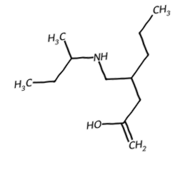 C=C(O)CC(CCC)CNC(C)CC